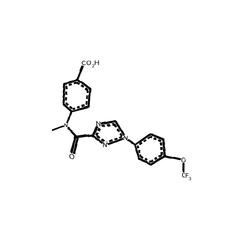 CN(C(=O)c1ncn(-c2ccc(OC(F)(F)F)cc2)n1)c1ccc(C(=O)O)cc1